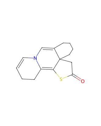 O=C1CC23CCCCC2=CN2C=CCCC2=C3S1